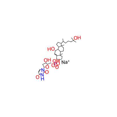 CC(CCCC(C)(C)O)C1CCC2C3C(O)C=C4CC(OP(=O)(O)OCC5OC(n6ccc(=O)[nH]c6=O)CC5O)CCC4(C)C3CCC12C.[Na+]